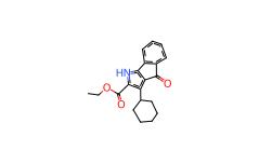 CCOC(=O)c1[nH]c2c(c1C1CCCCC1)C(=O)c1ccccc1-2